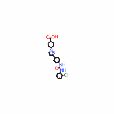 O=C(Nc1ccc(-c2ccn(C3CCC(C(=O)O)CC3)n2)cc1)Nc1ccccc1Cl